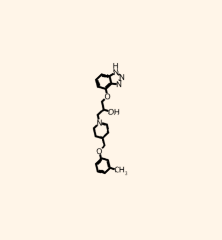 Cc1cccc(OCC2CCN(CC(O)COc3cccc4[nH]nnc34)CC2)c1